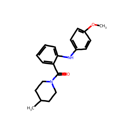 COc1ccc(Nc2ccccc2C(=O)N2CCC(C)CC2)cc1